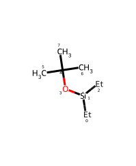 CC[Si](CC)OC(C)(C)C